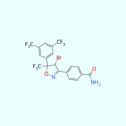 NC(=O)c1ccc(C2=NOC(c3cc(C(F)(F)F)cc(C(F)(F)F)c3)(C(F)(F)F)C2Br)cc1